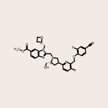 COC(=O)c1ccc2nc(CN3CC(c4ccc(F)c(COc5ccc(C#N)cc5F)n4)C[C@@H]3CO)n(C[C@@H]3CCO3)c2c1